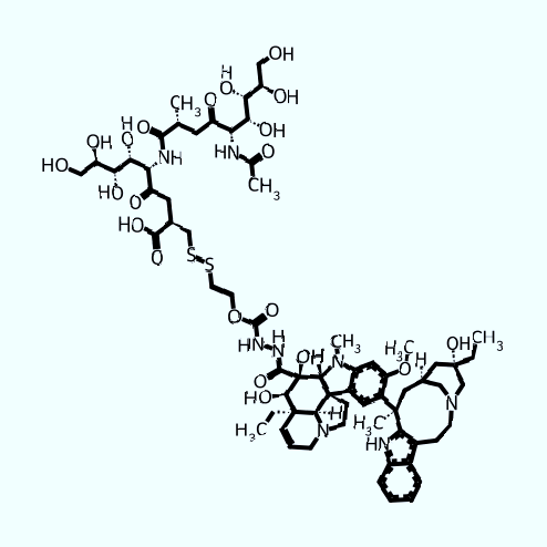 CC[C@]1(O)C[C@H]2CN(CCc3c([nH]c4ccccc34)[C@@](C)(c3cc4c(cc3OC)N(C)[C@H]3[C@@](O)(C(=O)NNC(=O)OCCSSC[C@H](CC(=O)[C@@H](NC(=O)[C@H](C)CC(=O)[C@@H](NC(C)=O)[C@@H](O)[C@H](O)[C@H](O)CO)[C@@H](O)[C@H](O)[C@H](O)CO)C(=O)O)[C@H](O)[C@]5(CC)C=CCN6CC[C@]43[C@@H]65)C2)C1